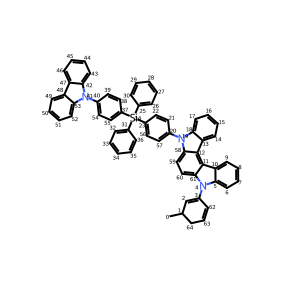 CC1C=C(n2c3ccccc3c3c4c5ccccc5n(-c5ccc([Si](c6ccccc6)(c6ccccc6)c6ccc(-n7c8ccccc8c8ccccc87)cc6)cc5)c4ccc32)C=CC1